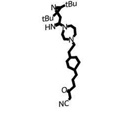 CC(C)(C)C1=NC1(CC(=N)N1CCCN(CCC2CCC(CCCC(=O)CC#N)CC2)CC1)C(C)(C)C